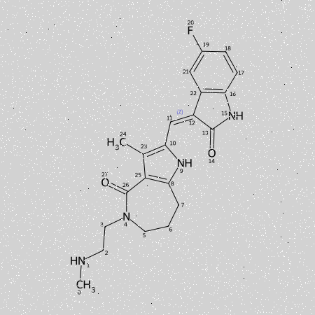 CNCCN1CCCc2[nH]c(/C=C3\C(=O)Nc4ccc(F)cc43)c(C)c2C1=O